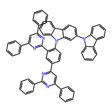 c1ccc(-c2cc(-c3ccc(-n4c5ccccc5c5ccc(-n6c7ccccc7c7ccccc76)cc54)c(-c4nc(-c5ccccc5)cc(-c5ccccc5)n4)c3)nc(-c3ccccc3)n2)cc1